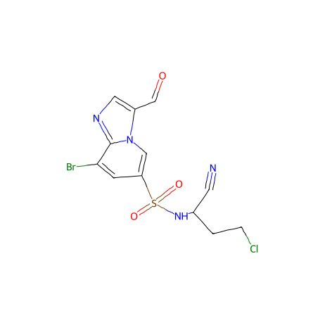 N#CC(CCCl)NS(=O)(=O)c1cc(Br)c2ncc(C=O)n2c1